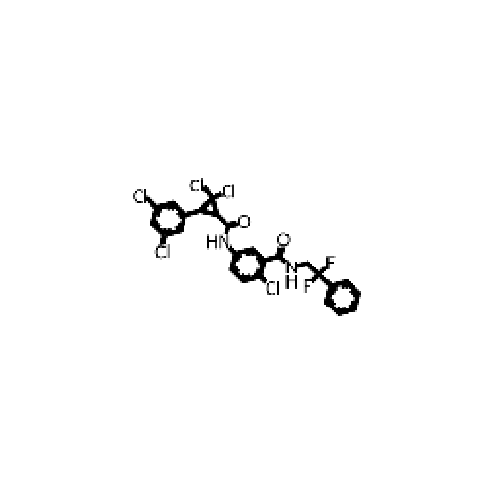 O=C(NCC(F)(F)c1ccccc1)c1cc(NC(=O)C2C(c3cc(Cl)cc(Cl)c3)C2(Cl)Cl)ccc1Cl